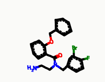 NCCN(Cc1ccc(F)c(Br)c1)C(=O)c1ccccc1OCc1ccccc1